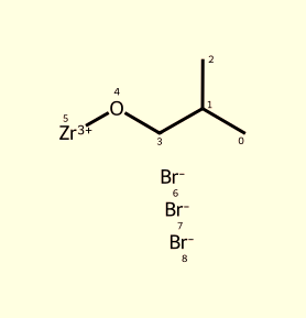 CC(C)C[O][Zr+3].[Br-].[Br-].[Br-]